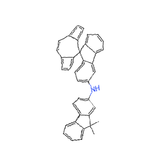 CC1(C)c2ccccc2-c2ccc(Nc3ccc4c(c3)-c3ccccc3C43c4ccccc4C=Cc4ccccc43)cc21